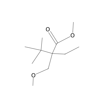 CCC(COC)(C(=O)OC)C(C)(C)C